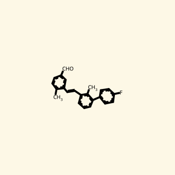 Cc1ccc(C=O)cc1/C=C/c1cccc(-c2ccc(F)cc2)c1C